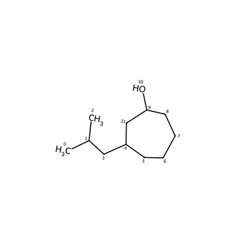 CC(C)CC1CCCCC(O)C1